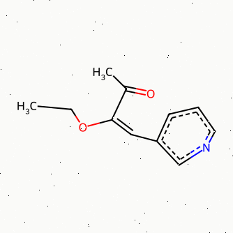 CCO/C(=C/c1cccnc1)C(C)=O